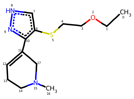 CCOCCSc1c[nH]nc1C1=CCCN(C)C1